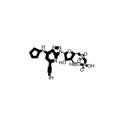 CC(C)C#Cc1cc(NC2CCCC2)c2nnn([C@@H]3O[C@H](CS(=O)(=O)CP(=O)(O)O)[C@@H](O)[C@H]3O)c2n1